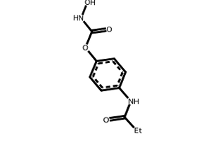 CCC(=O)Nc1ccc(OC(=O)NO)cc1